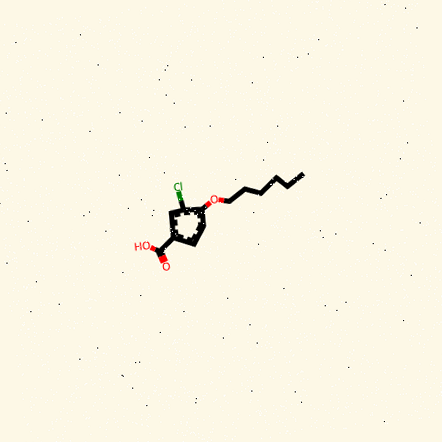 CCCCCCOc1ccc(C(=O)O)cc1Cl